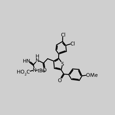 COc1ccc(C(=O)c2cc(CC(=O)NC(=N)N(C(=O)O)C(C)(C)C)c(-c3ccc(Cl)c(Cl)c3)s2)cc1